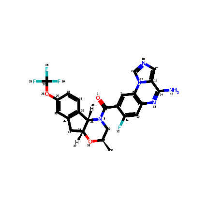 C[C@@H]1CN(C(=O)c2cc3c(cc2F)nc(N)c2cncn23)[C@H]2c3ccc(OC(F)(F)F)cc3C[C@H]2O1